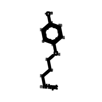 CCCCCCCCCCOc1ccc([O])cc1